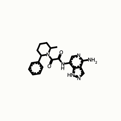 CC1CCCC(c2ccccc2)N1C(=O)C(=O)Nc1cnc(N)c2cn[nH]c12